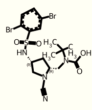 CC(C)(C)N(C[C@H]1C[C@@H](NS(=O)(=O)c2cc(Br)ccc2Br)CN1C#N)C(=O)O